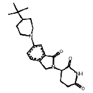 CC(C)(C)C1CCN(c2ccc3c(c2)C(=O)N(C2CCC(=O)NC2=O)C3)CC1